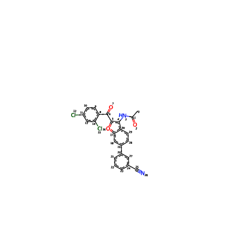 CC(=O)Nc1c(C(=O)c2ccc(Cl)cc2Cl)oc2cc(-c3cccc(C#N)c3)ccc12